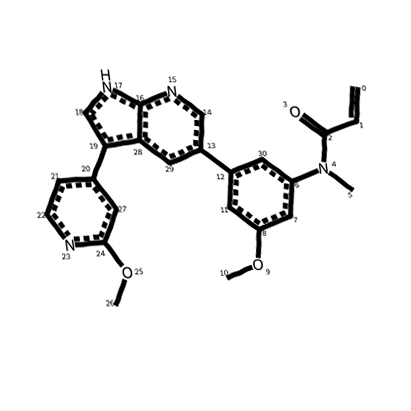 C=CC(=O)N(C)c1cc(OC)cc(-c2cnc3[nH]cc(-c4ccnc(OC)c4)c3c2)c1